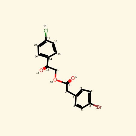 O=C(Cc1ccc(Br)cc1)OCC(=O)c1ccc(Cl)cc1